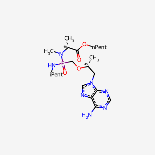 [CH2]C(CCC)NP(=O)(CO[C@H](C)Cn1cnc2c(N)ncnc21)N(C)[C@H](C)C(=O)OCCCCC